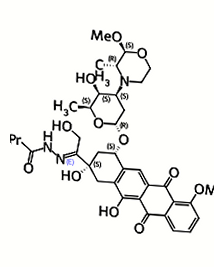 COc1cccc2c1C(=O)c1cc3c(c(O)c1C2=O)C[C@@](O)(/C(CO)=N/NC(=O)C(C)C)C[C@@H]3O[C@H]1C[C@H](N2CCO[C@H](OC)[C@H]2C)[C@H](O)[C@H](C)O1